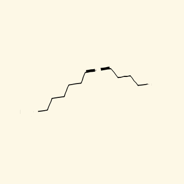 CCCCCCCCCCCC=C=CCCCCCC(=O)O